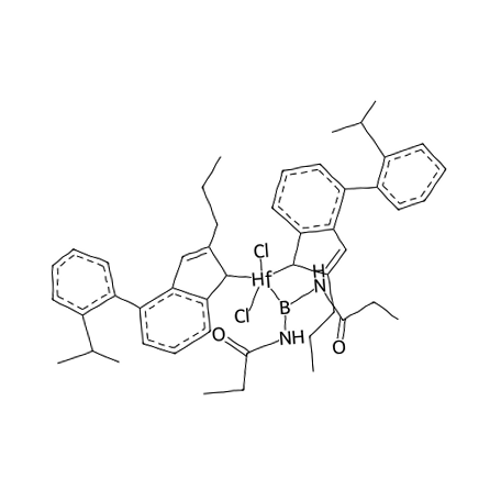 CCCC1=Cc2c(-c3ccccc3C(C)C)cccc2[CH]1[Hf]([Cl])([Cl])([B](NC(=O)CC)NC(=O)CC)[CH]1C(CCC)=Cc2c(-c3ccccc3C(C)C)cccc21